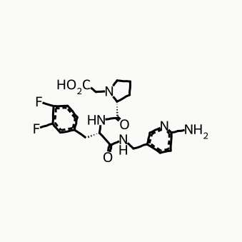 Nc1ccc(CNC(=O)[C@H](Cc2ccc(F)c(F)c2)NC(=O)[C@H]2CCCN2CC(=O)O)cn1